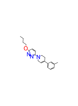 CCCCOc1ccc(N2CC=C(c3cccc(C)c3)CC2)nn1